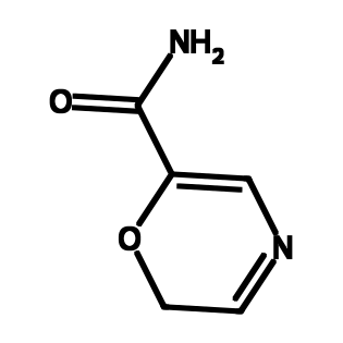 NC(=O)C1=CN=CCO1